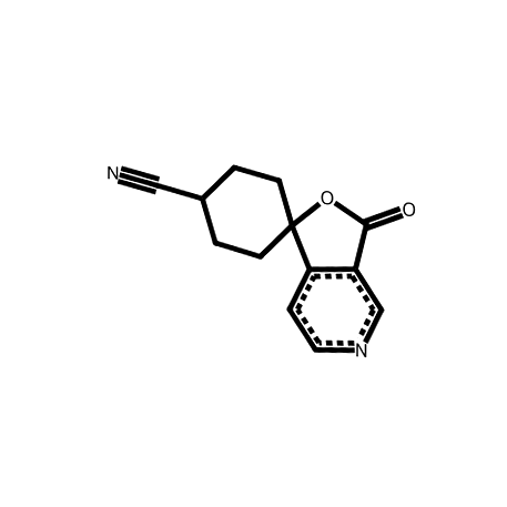 N#CC1CCC2(CC1)OC(=O)c1cnccc12